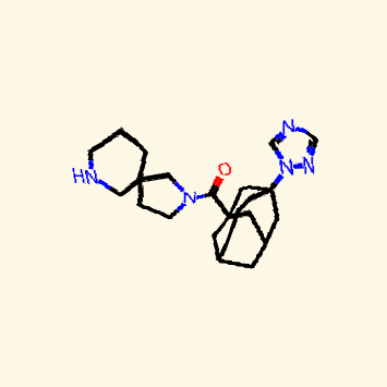 O=C(N1CCC2(CCCNC2)C1)C12CC3CC(C1)CC(n1cncn1)(C3)C2